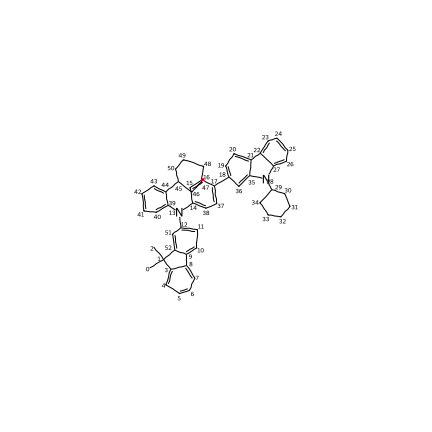 CC1(C)c2ccccc2-c2ccc(N(c3ccc(-c4ccc5c6ccccc6n(C6CCCCC6)c5c4)cc3)c3ccccc3C3CCCCC3)cc21